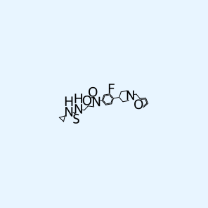 O=C1OC(CNC(=S)NC2CC2)CN1c1ccc(C2CCN(Cc3ccco3)CC2)c(F)c1